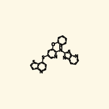 c1ccc(Oc2cc(Sc3ccnc4ccsc34)cnc2Nc2nc3cccnc3s2)cc1